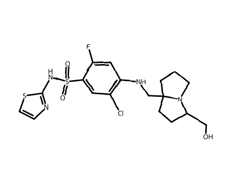 O=S(=O)(Nc1nccs1)c1cc(Cl)c(NCC23CCCN2C(CO)CC3)cc1F